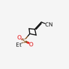 CCS(=O)(=O)C1CC(=CC#N)C1